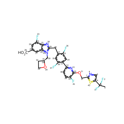 CC(F)(F)c1cnc(COc2nc(-c3cc(F)c(Cc4nc5c(F)cc(C(=O)O)cc5n4C[C@@H]4CCO4)cc3F)ccc2F)s1